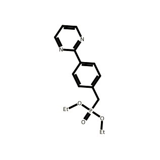 CCOP(=O)(Cc1ccc(-c2ncccn2)cc1)OCC